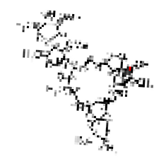 CC[C@@H](C)[C@H]1O[C@]2(C=C[C@@H]1C)C[C@@H]1C[C@@H](C/C=C(\C)[C@@H](O[C@H]3C[C@H](OC)C([C@H]4C[C@H](OC)[C@@H](O)[C@H](C)O4)[C@H](C)O3)[C@@H](C)/C=C/C=C3\CO[C@@H]4[C@H](O)C(C)=C[C@@H](C(=O)O1)[C@]34O)O2